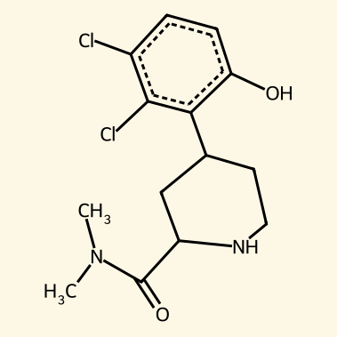 CN(C)C(=O)C1CC(c2c(O)ccc(Cl)c2Cl)CCN1